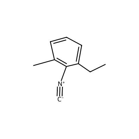 [C-]#[N+]c1c(C)cccc1CC